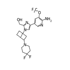 Nc1ncc(-c2cn(C34CCC3C(N3CCC(F)(F)CC3)C4)c(CO)n2)cc1OC(F)(F)F